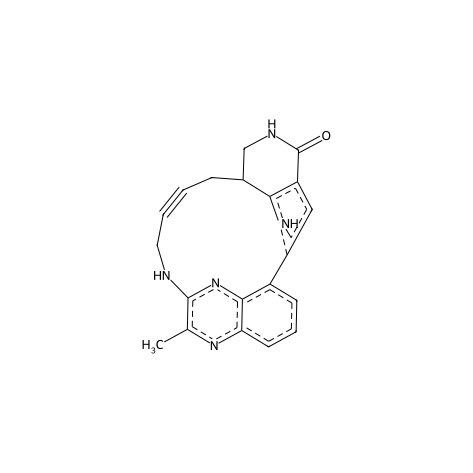 Cc1nc2cccc3c2nc1NCC#CCC1CNC(=O)c2cc-3[nH]c21